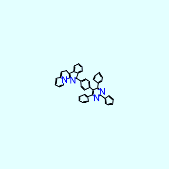 C1=CC2=CCc3c(nc(-c4ccc(-c5c(-c6ccccc6)nc(-c6ccccc6)nc5-c5ccccc5)cc4)c4ccccc34)N2C=C1